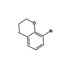 Brc1cccc2c1OCC[CH]2